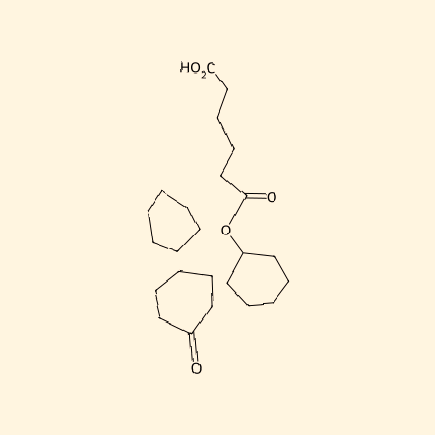 C1CCCCC1.O=C(O)CCCCC(=O)OC1CCCCC1.O=C1CCCCC1